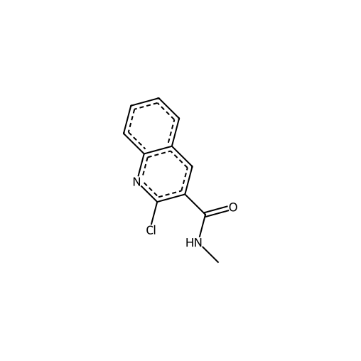 CNC(=O)c1cc2ccccc2nc1Cl